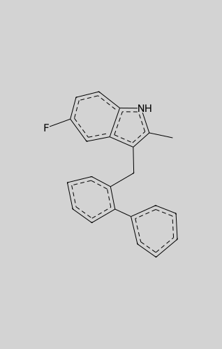 Cc1[nH]c2ccc(F)cc2c1Cc1ccccc1-c1ccccc1